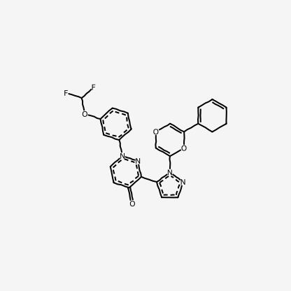 O=c1ccn(-c2cccc(OC(F)F)c2)nc1-c1ccnn1C1=COC=C(C2=CC=CCC2)O1